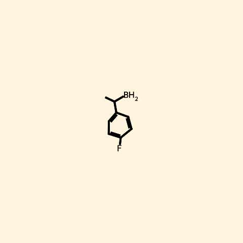 BC(C)c1ccc(F)cc1